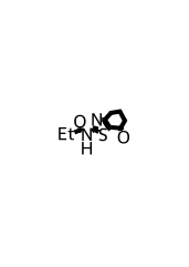 CCC(=O)Nc1nc2c(s1)C(=O)CCC2